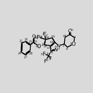 O=C1COCC(n2nc(C(F)(F)F)c3c2CC(F)(F)[C@H]3OC(=O)c2ccccc2)C1